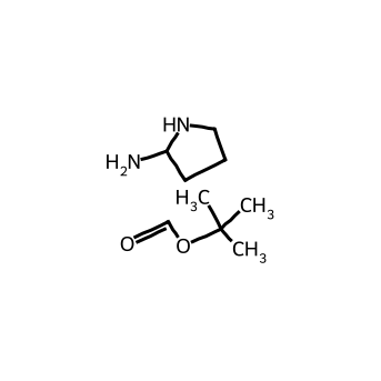 CC(C)(C)OC=O.NC1CCCN1